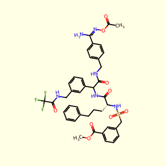 COC(=O)c1cccc(CS(=O)(=O)N[C@H](CCCc2ccccc2)C(=O)NC(C(=O)NCc2ccc(/C(N)=N\OC(C)=O)cc2)c2cccc(CNC(=O)C(F)(F)F)c2)c1